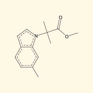 COC(=O)C(C)(C)n1ccc2ccc(C)cc21